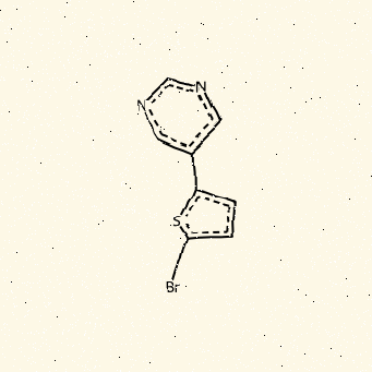 Brc1ccc(-c2cncnc2)s1